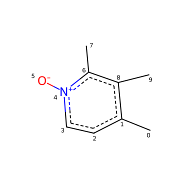 Cc1cc[n+]([O-])c(C)c1C